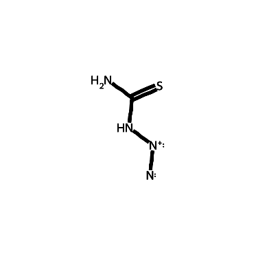 [N][N+]NC(N)=S